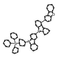 c1ccc([Si](c2ccccc2)(c2ccccc2)c2ccc(-n3c4ccccc4c4cc(-n5c6ccccc6c6c(-c7ccc8oc9ccccc9c8c7)cccc65)ccc43)cc2)cc1